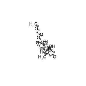 CCOCCC(=O)OCC(=O)[C@@]1(O)CC[C@H]2[C@@H]3CC(C)C4=CC(=O)C=C[C@]4(C)[C@H]3C(O)C[C@@]21C